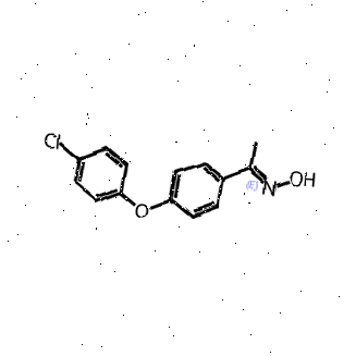 C/C(=N\O)c1ccc(Oc2ccc(Cl)cc2)cc1